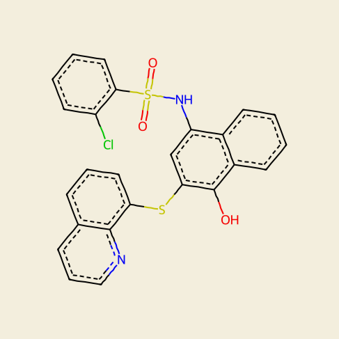 O=S(=O)(Nc1cc(Sc2cccc3cccnc23)c(O)c2ccccc12)c1ccccc1Cl